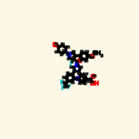 CC[C@H]1CN(C(=O)[C@]2(F)CN(C3CCC(=O)CC3)C[C@H]2c2ccc(OC)cc2)C[C@@H]1c1ccc(C(F)(F)F)cc1N1CCC(C(=O)O)CC1